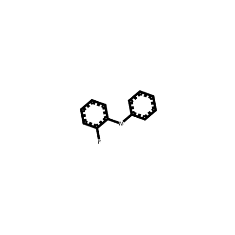 Fc1ccccc1[N]c1ccccc1